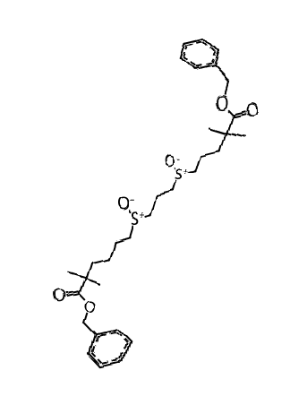 CC(C)(CCCC[S+]([O-])CCC[S+]([O-])CCCC(C)(C)C(=O)OCc1ccccc1)C(=O)OCc1ccccc1